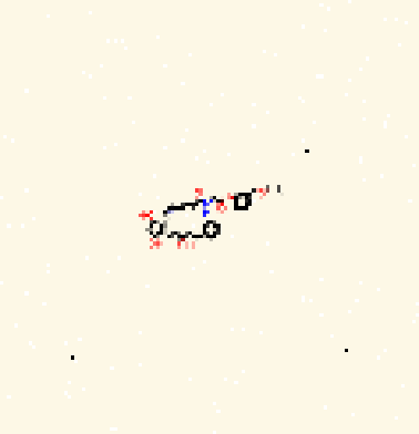 O=C(CCC/C=C\C[C@@H]1[C@@H](CC[C@@H](O)CCc2ccccc2)[C@H](O)C[C@@H]1O)NCC(=O)Oc1cccc(CO[N+](=O)[O-])c1